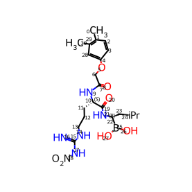 Cc1ccc(OCC(=O)N[C@@H](CCCNC(=N)N[N+](=O)[O-])C(=O)N[C@@H](CC(C)C)B(O)O)cc1C